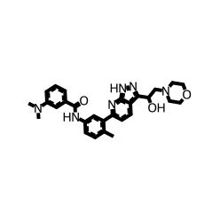 Cc1ccc(NC(=O)c2cccc(N(C)C)c2)cc1-c1ccc2c(C(O)CN3CCOCC3)n[nH]c2n1